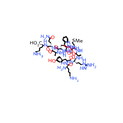 CSCC[C@H](NC(=O)C(C)NC(=O)[C@H](CCCNC(=N)N)NC(=O)C(Cc1ccc(O)cc1)NC(=O)[C@@H](N)CCCCN)C(=O)NC(Cc1ccccc1)C(=O)N[C@@H](CCCNC(=N)N)C(=O)NC(C)C(=O)N[C@@H](CCC(N)=O)C(=O)NC(CCCCN)C(=O)O